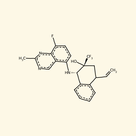 C=CC1C[C@](O)(C(F)(F)F)[C@@H](Nc2ccc(F)c3nc(C)ncc23)c2ccccc21